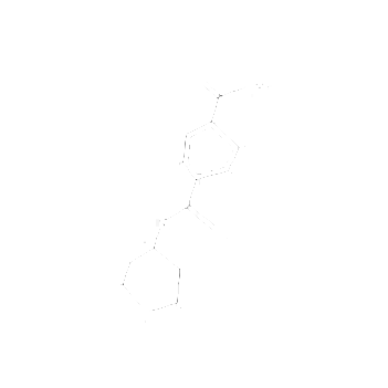 COC(=O)c1ccc(C(=O)NC2CCOCC2)cc1